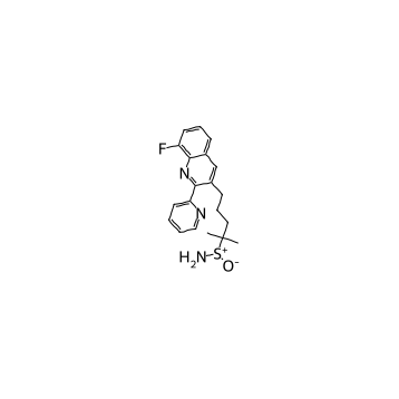 CC(C)(CCCc1cc2cccc(F)c2nc1-c1ccccn1)[S+](N)[O-]